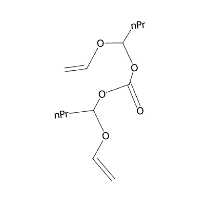 C=COC(CCC)OC(=O)OC(CCC)OC=C